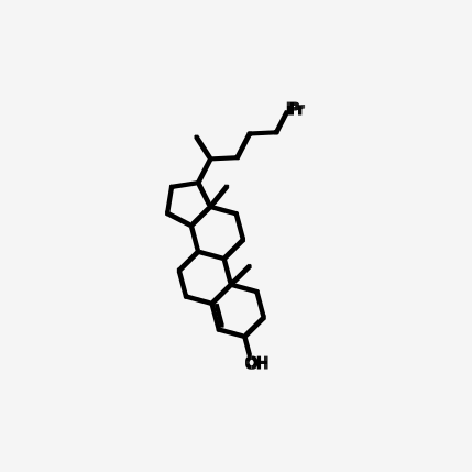 CC(C)CCCC(C)C1CCC2C3CCC4=CC(O)CCC4(C)C3CCC12C